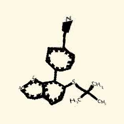 CC(C)(C)Sc1ccc2cnsc2c1-c1ccc(C#N)cc1